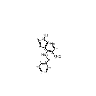 CCn1ncc2c(NCc3ccccc3)c(C=O)cnc21